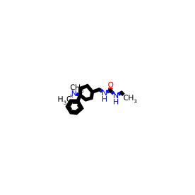 CCNC(=O)NCC1CCC(c2ccccc2)(N(C)C)CC1